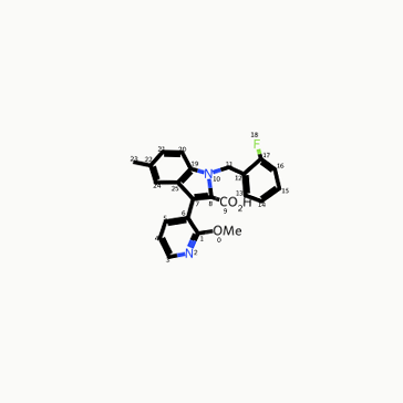 COc1ncccc1-c1c(C(=O)O)n(Cc2ccccc2F)c2ccc(C)cc12